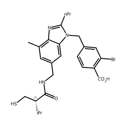 CCCc1nc2c(C)cc(CNC(=O)[C@@H](CS)C(C)C)cc2n1Cc1ccc(C(=O)O)c(Br)c1